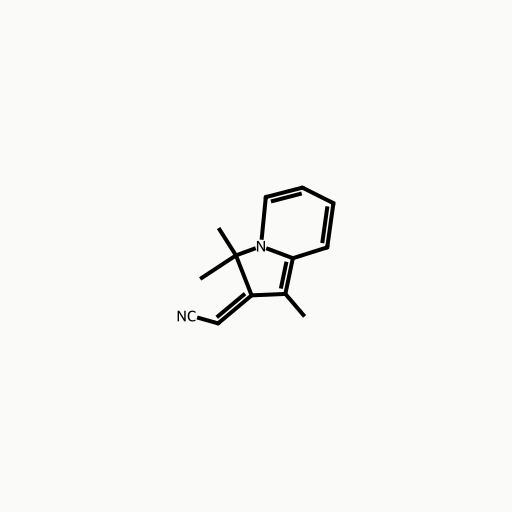 CC1=C2C=CC=CN2C(C)(C)C1=CC#N